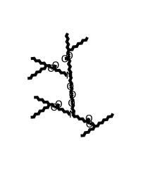 CCCCCCCCC(CCCCCC)COC(=O)CCCCCN(CCCCCC(=O)OCC(CCCCCC)CCCCCCCC)CCCOCCOCCOCCCN(CCCCCC(=O)OCC(CCCCCC)CCCCCCCC)CCCCCC(=O)OCC(CCCCCC)CCCCCCCC